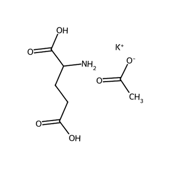 CC(=O)[O-].NC(CCC(=O)O)C(=O)O.[K+]